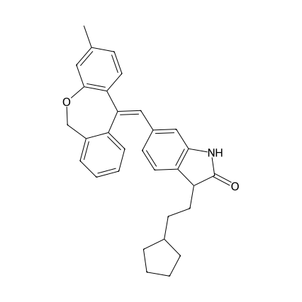 Cc1ccc2c(c1)OCc1ccccc1/C2=C\c1ccc2c(c1)NC(=O)C2CCC1CCCC1